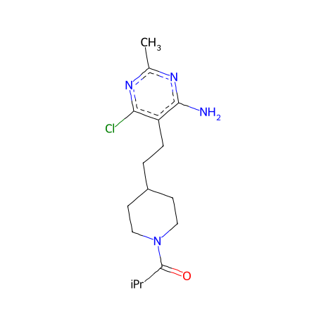 Cc1nc(N)c(CCC2CCN(C(=O)C(C)C)CC2)c(Cl)n1